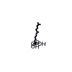 CC(C)=CCC/C(C)=C/CC/C=C/C(C)(OO)OO